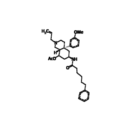 C=CCN1CC[C@@]2(c3cccc(OC)c3)C[C@@H](NC(=O)CCCCCc3ccccc3)CC(OC(C)=O)[C@@H]2C1